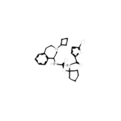 O=C(NC1CN(C2CCC2)CCc2ccccc21)OC1(NC(=O)c2ccc(Cl)s2)CCCC1